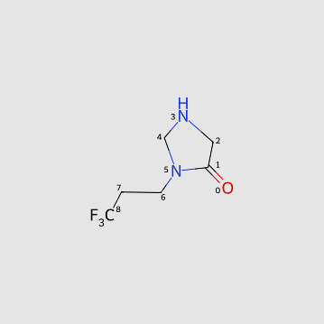 O=C1CNCN1CCC(F)(F)F